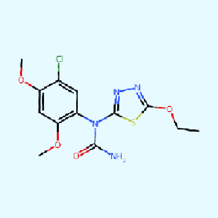 CCOc1nnc(N(C(N)=O)c2cc(Cl)c(OC)cc2OC)s1